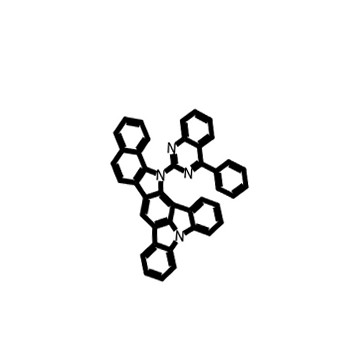 c1ccc(-c2nc(-n3c4c5ccccc5ccc4c4cc5c6ccccc6n6c7ccccc7c(c43)c56)nc3ccccc23)cc1